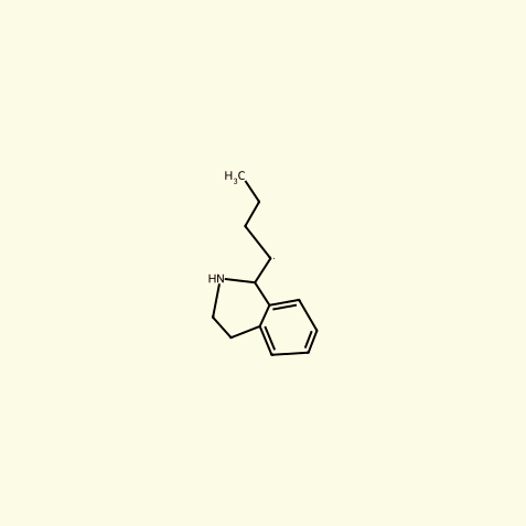 CCC[CH]C1NCCc2ccccc21